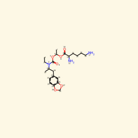 CCN(C(=O)OC(C)OC(=O)C(N)CCCCN)C(C)Cc1ccc2c(c1)OCO2